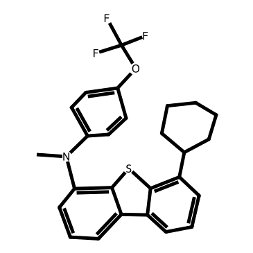 CN(c1ccc(OC(F)(F)F)cc1)c1cccc2c1sc1c(C3CCCCC3)cccc12